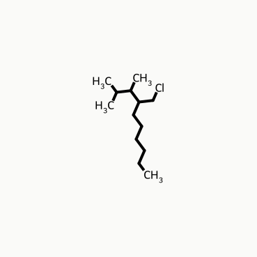 CCCCCCC(CCl)C(C)C(C)C